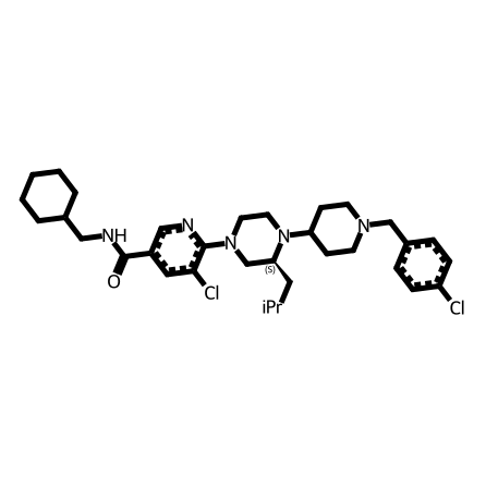 CC(C)C[C@H]1CN(c2ncc(C(=O)NCC3CCCCC3)cc2Cl)CCN1C1CCN(Cc2ccc(Cl)cc2)CC1